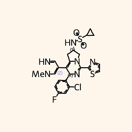 CN/C=C(\C=N)C1=C2C[C@H](NS(=O)(=O)C3CC3)CN2C(c2nccs2)=N[C@H]1c1ccc(F)cc1Cl